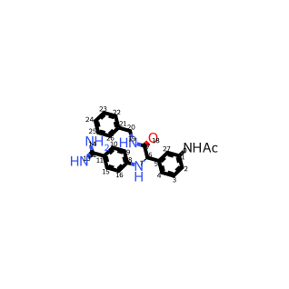 CC(=O)Nc1cccc([C@H](Nc2ccc(C(=N)N)cc2)C(=O)NCc2ccccc2)c1